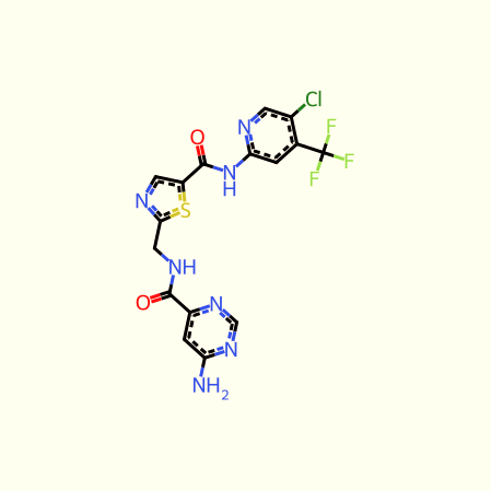 Nc1cc(C(=O)NCc2ncc(C(=O)Nc3cc(C(F)(F)F)c(Cl)cn3)s2)ncn1